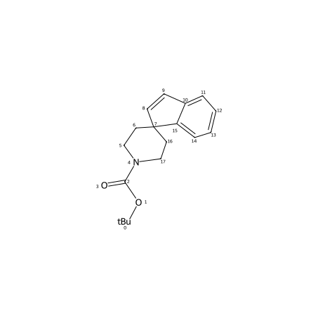 CC(C)(C)OC(=O)N1CCC2(C=Cc3ccccc32)CC1